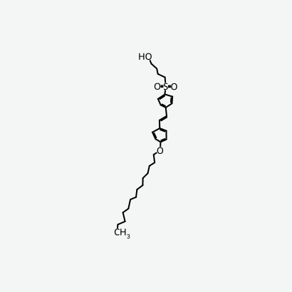 CCCCCCCCCCCCCCOc1ccc(C=Cc2ccc(S(=O)(=O)CCCCO)cc2)cc1